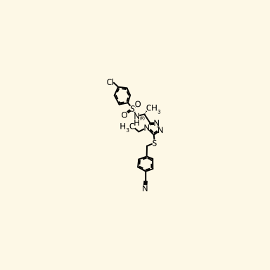 CCn1c(SCc2ccc(C#N)cc2)nnc1[C@@H](C)NS(=O)(=O)c1ccc(Cl)cc1